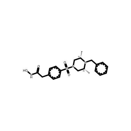 C[C@@H]1CN(S(=O)(=O)c2ccc(CC(=O)NO)cc2)C[C@H](C)N1Cc1ccccc1